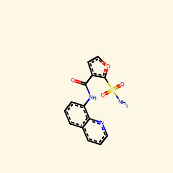 NS(=O)(=O)c1occc1C(=O)Nc1cccc2cccnc12